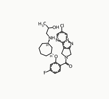 CC(O)CN[C@@H]1CCCC[C@@H](Oc2cc(F)ccc2C(=O)N2Cc3nn4cc(Cl)cnc4c3C2)C1